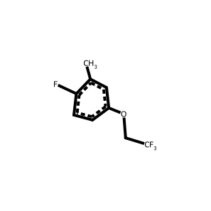 Cc1cc(OCC(F)(F)F)ccc1F